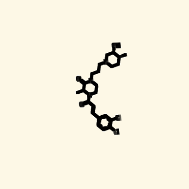 CC1C(=O)N(CCCN2CC[C@H](C)[C@H](O)C2)CCN1C(=O)/C=C/c1ccc(Cl)c(Cl)c1